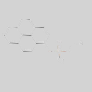 C[PH](O)(OC(=O)O)Oc1ccc2ccc3cccc4ccc1c2c34